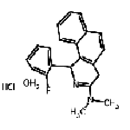 CN(C)C1=NC(c2ccccc2F)c2c(ccc3ccccc23)C1.Cl.O